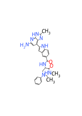 CCN(CC(NC(=O)c1ccc2[nH]c(-c3cc(N)nc4[nH]c(C)nc34)cc2c1)C(=O)NC)c1ccccc1